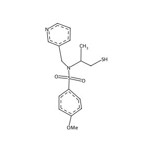 COc1ccc(S(=O)(=O)N(Cc2cccnc2)C(C)CS)cc1